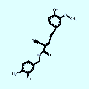 COc1cc(/C=C/C=C(\C#N)C(=O)NCc2ccc(C)c(O)c2)ccc1O